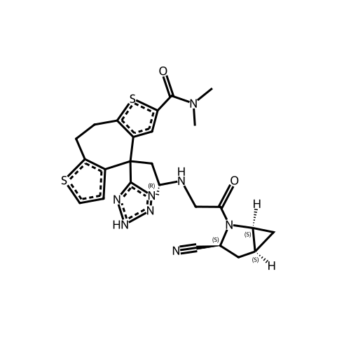 C[C@H](CC1(c2nn[nH]n2)c2ccsc2CCc2sc(C(=O)N(C)C)cc21)NCC(=O)N1[C@H](C#N)C[C@@H]2C[C@@H]21